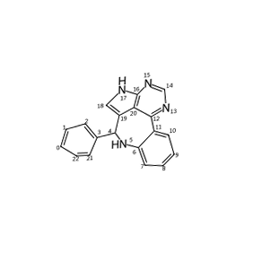 c1ccc(C2Nc3ccccc3-c3ncnc4[nH]cc2c34)cc1